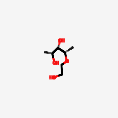 C[C@H](OCCO)[C@@H](O)[C@@H](C)O